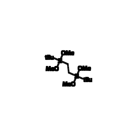 CO[Si](CC[Si](OC)(OC)C(C)(C)C)(OC)C(C)(C)C